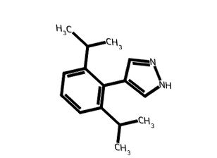 CC(C)c1cccc(C(C)C)c1-c1cn[nH]c1